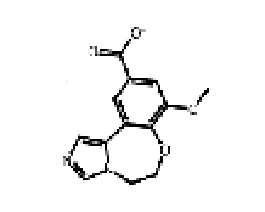 COc1cc(C(=O)[O-])cc2c1OCCn1cncc1-2.[Li+]